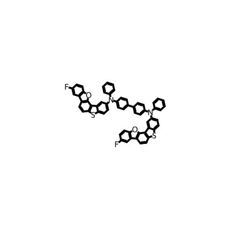 Fc1ccc2oc3c(ccc4sc5ccc(N(c6ccccc6)c6ccc(-c7ccc(N(c8ccccc8)c8ccc9sc%10ccc%11c%12cc(F)ccc%12oc%11c%10c9c8)cc7)cc6)cc5c43)c2c1